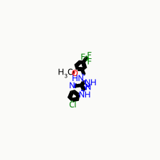 COc1ccc(C(F)(F)F)cc1CNc1[nH]nc(Nc2cccc(Cl)c2)c1C#N